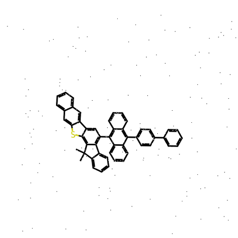 CC1(C)c2ccccc2-c2c(-c3c4ccccc4c(-c4ccc(-c5ccccc5)cc4)c4ccccc34)cc3c(sc4cc5ccccc5cc43)c21